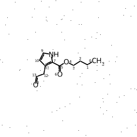 CCCCOC(=O)c1[nH]ccc1CC=O